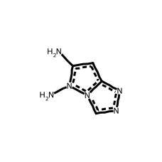 Nc1cc2nncn2n1N